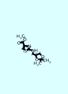 COC(=O)c1csc(NCC2COC(C)(C)O2)n1